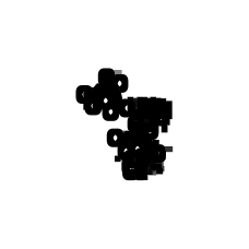 O=C([O-])CC(O)(CC(=O)[O-])C(=O)[O-].O=C([O-])CC(O)(CC(=O)[O-])C(=O)[O-].[Cu+2].[Cu+2].[Cu+2].[LiH].[LiH].[LiH].[LiH].[LiH].[LiH]